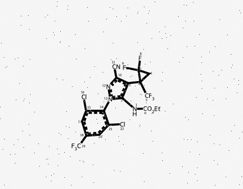 CCOC(=O)Nc1c(C2(C(F)(F)F)CC2(F)F)c(C#N)nn1-c1c(Cl)cc(C(F)(F)F)cc1Cl